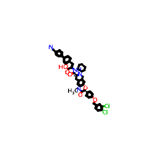 CN1C(=O)[C@H](c2ccc(OCc3ccc(Cl)c(Cl)c3)cc2)Oc2cc3c(cc21)C[C@@H](C(=O)NC(Cc1ccc(-c2ccc(C#N)cc2)cc1)C(=O)O)N(C1CCCCC1)C3